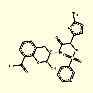 Nc1nc(C(NS(=O)(=O)c2cccnc2)C(=O)N[C@H]2Cc3cccc(C(=O)O)c3OB2O)cs1